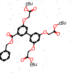 CC(C)(C)OC(=O)COc1cc(OCC(=O)OC(C)(C)C)cc(-c2cc(OCC(=O)OC(C)(C)C)cc(C(=O)OCc3ccccc3)c2)c1